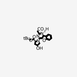 CC(C)(C)OC(=O)[C@@H]1C[C@H](O)CN1c1nc(CC(=O)O)nc2c1oc1ccccc12